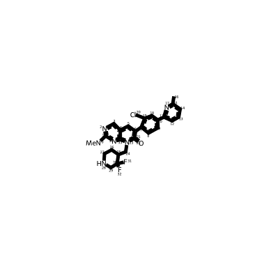 CNc1ncc2cc(-c3ccc(-c4cccc(C)n4)cc3Cl)c(=O)n(CC3CCNCC3(F)F)c2n1